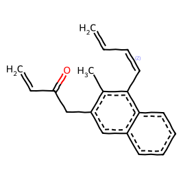 C=C/C=C\c1c(C)c(CC(=O)C=C)cc2ccccc12